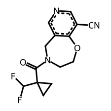 N#Cc1cncc2c1OCCN(C(=O)C1(C(F)F)CC1)C2